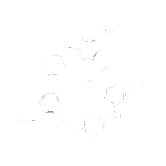 CCCCOc1cc(CN2CCC(Nc3nc(OC)cc(OC)n3)CC2)ccc1OC.COc1cc(OC)nc(NC2CCNCC2)n1